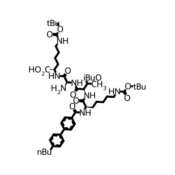 CCCCc1ccc(-c2ccc(C(=O)N[C@H](CCCCCNC(=O)OC(C)(C)C)C(=O)N[C@H](C(=O)N[C@@H](N)C(=O)N[C@@H](CCCCNC(=O)OC(C)(C)C)C(=O)O)C(C)OCC(C)C)cc2)cc1